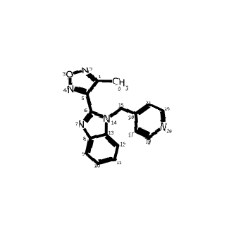 Cc1nonc1-c1nc2ccccc2n1Cc1ccncc1